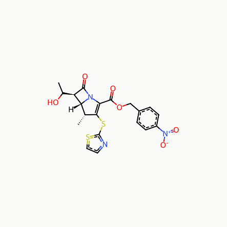 CC(O)[C@H]1C(=O)N2C(C(=O)OCc3ccc([N+](=O)[O-])cc3)=C(Sc3nccs3)[C@H](C)[C@H]12